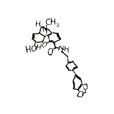 CN1CC[C@]23c4c5ccc(C(=O)NCCc6ccc(-c7ccc8c(c7)OCO8)cc6)c4O[C@H]2[C@@H](O)C=CC3[C@H]1C5